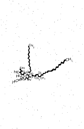 CCCCCCCCCCCCCCCCCC[C@H](C)C[C@H](C)/C=C(\C)C(=O)OC1C(O)C(CO)OC(OC2OC(CO)C(O)C(O)C2OSOOO)C1OC(=O)CCCCCCCCCCCCCCC